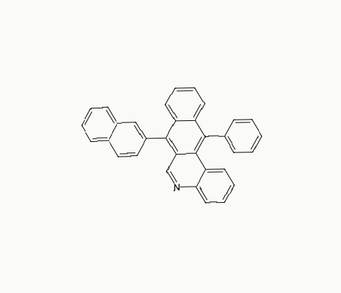 c1ccc(-c2c3ccccc3c(-c3ccc4ccccc4c3)c3cnc4ccccc4c23)cc1